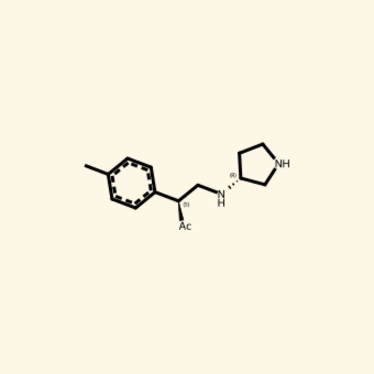 CC(=O)[C@H](CN[C@@H]1CCNC1)c1ccc(C)cc1